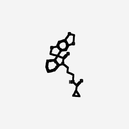 O=C(NCCCN1C(=O)C2(COc3cc4c(cc32)OCO4)c2ccccc21)C1CC1